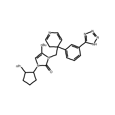 CCCCc1cn(C2CCCC2CCC)c(=O)n1CC1(c2cccc(-c3nnn[nH]3)c2)C=CN=CC1